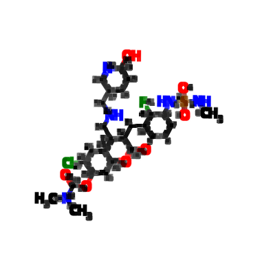 CNS(=O)(=O)Nc1cccc(Cc2c(CNCc3ccc(O)nc3)c3cc(Cl)c(OC(=O)N(C)C)cc3oc2=O)c1F